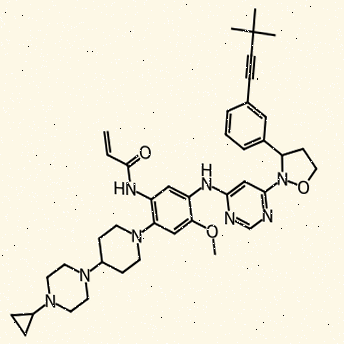 C=CC(=O)Nc1cc(Nc2cc(N3OCCC3c3cccc(C#CC(C)(C)C)c3)ncn2)c(OC)cc1N1CCC(N2CCN(C3CC3)CC2)CC1